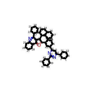 c1ccc(-c2cc(-c3cccc(-c4oc5c(c(-c6ccccc6)nc6ccccc65)c4-c4cccc5ccccc45)c3)nc(-c3ccccc3)n2)cc1